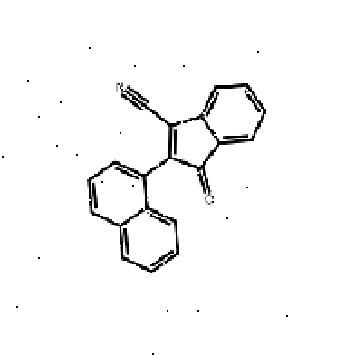 N#CC1=C(c2cccc3ccccc23)C(=O)c2ccccc21